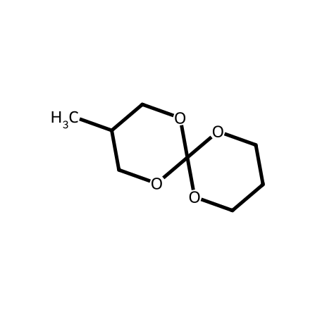 CC1COC2(OCCCO2)OC1